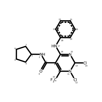 O=C(NC1CCCC1)C1=C(C(F)(F)F)N(Cl)C(Cl)N=C1Nc1ccccc1